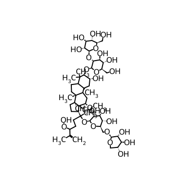 C=C(C)C(CCC(C)(O[C@@H]1O[C@H](CO[C@@H]2OC[C@@H](O)[C@H](O)[C@H]2O)[C@@H](O)[C@H](O)[C@H]1O)[C@H]1CC[C@]2(C)[C@]1(C)[C@H](OC)CC1[C@@]3(C)C[C@@H](O)[C@H](O[C@@H]4O[C@H](CO)[C@@H](O)[C@H](O)[C@H]4O[C@@H]4O[C@H](CO)[C@@H](O)[C@H](O)[C@H]4O)C(C)(C)C3CC[C@]12C)OO